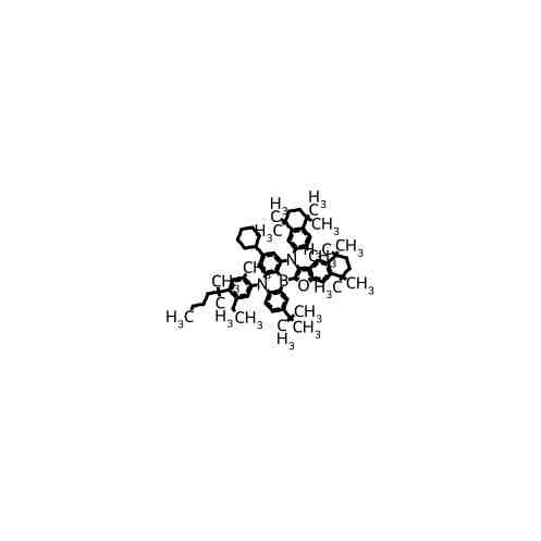 CCCCC(C)(C)c1cc(C)c(N2c3ccc(C(C)(C)C)cc3B3c4oc5cc6c(cc5c4N(c4cc5c(cc4C)C(C)(C)CCC5(C)C)c4cc(C5CCCCC5)cc2c43)C(C)(C)CCC6(C)C)cc1CC